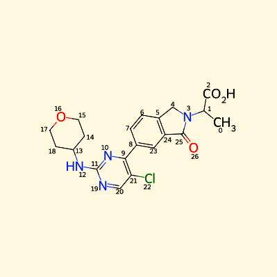 CC(C(=O)O)N1Cc2ccc(-c3nc(NC4CCOCC4)ncc3Cl)cc2C1=O